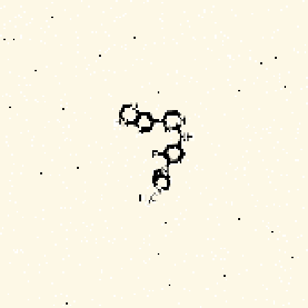 CN1CC2CC1CN2c1ccc(Nc2nccc(-c3cnc4c(c3)OCCN4)n2)cc1F